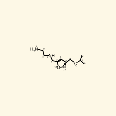 CC(C)OCc1cc(CNCCN)on1